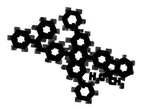 CC1(C)c2ccccc2-c2ccc(-c3c4ccc(N5CCCCC5)cc4c(-c4ccc(C=C(c5ccccc5)c5ccccc5)cc4)c4ccc(N5CCCCC5)cc34)cc21